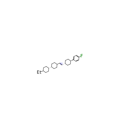 CC[C@H]1CC[C@H](C2CCC(/C=C/[C@H]3CC[C@H](c4ccc(F)cc4)CC3)CC2)CC1